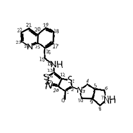 Cc1c(N2CC3CNCC3C2)sc2c(NCc3cccc4cccnc34)snc12